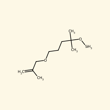 C=C(C)COCCCC(C)(C)O[SiH3]